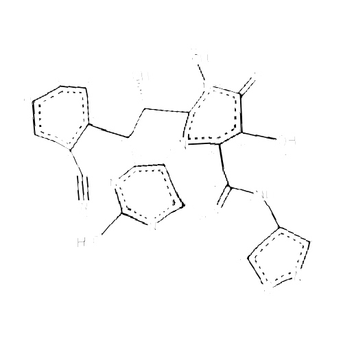 Cc1nccc([C@H](c2ccccc2C#N)[C@H](C)c2nc(C(=O)Nc3cnoc3)c(O)c(=O)n2C)n1